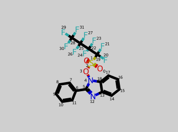 O=S(=O)(On1c(-c2ccccc2)nc2ccccc21)C(F)(F)C(F)(F)C(F)(F)C(F)(F)F